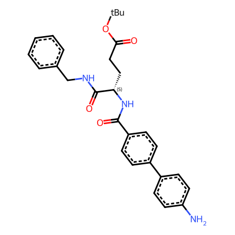 CC(C)(C)OC(=O)CC[C@H](NC(=O)c1ccc(-c2ccc(N)cc2)cc1)C(=O)NCc1ccccc1